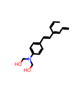 C=C/C=C(\C=C/C)/C=C/c1ccc(N(CO)CO)cc1